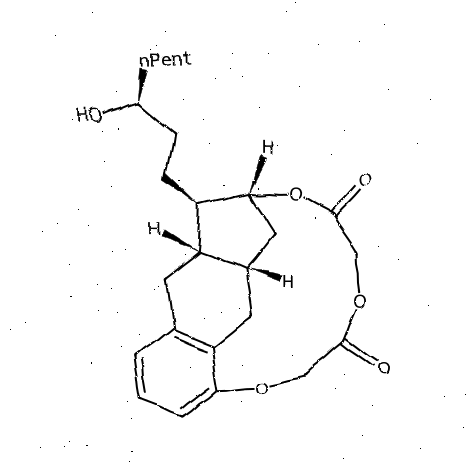 CCCCC[C@H](O)CC[C@@H]1[C@H]2Cc3cccc4c3C[C@H]2C[C@H]1OC(=O)COC(=O)CO4